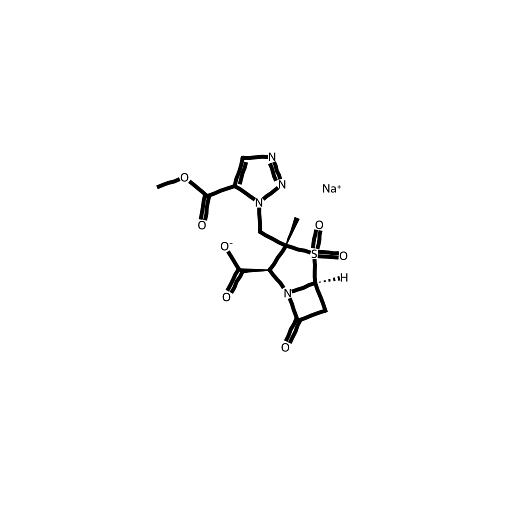 COC(=O)c1cnnn1C[C@@]1(C)[C@H](C(=O)[O-])N2C(=O)C[C@@H]2S1(=O)=O.[Na+]